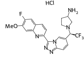 COc1cc2nc(-c3nnc4ccc([C@@H](N5CCC(N)C5)C(F)(F)F)cn34)ccc2cc1F.Cl